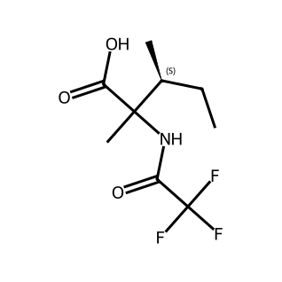 CC[C@H](C)C(C)(NC(=O)C(F)(F)F)C(=O)O